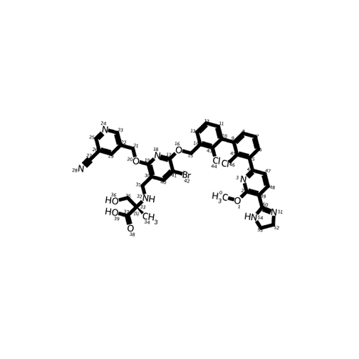 COc1nc(-c2cccc(-c3cccc(COc4nc(OCc5cncc(C#N)c5)c(CN[C@@](C)(CO)C(=O)O)cc4Br)c3Cl)c2Cl)ccc1C1=NCCN1